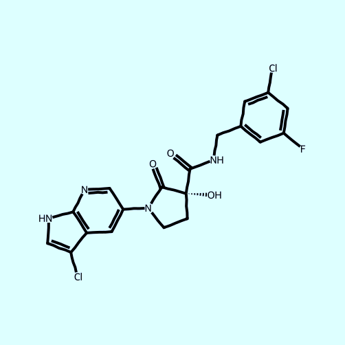 O=C(NCc1cc(F)cc(Cl)c1)[C@@]1(O)CCN(c2cnc3[nH]cc(Cl)c3c2)C1=O